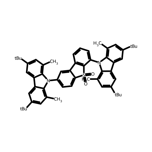 Cc1cc(C(C)(C)C)cc2c3cc(C(C)(C)C)cc(C)c3n(-c3ccc4c(c3)-c3cccc(-n5c6c(C)cc(C(C)(C)C)cc6c6cc(C(C)(C)C)cc(C)c65)c3S4(=O)=O)c12